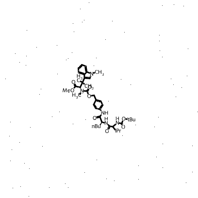 CCCC[C@H](NC(=O)C(NC(=O)OC(C)(C)C)C(C)C)C(=O)Nc1ccc(COC(=O)N(C)[C@H](C(=O)OC)C(C)(C)c2cn(C)c3ccccc23)cc1